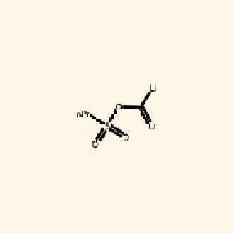 [Li][C](=O)OS(=O)(=O)CCC